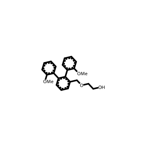 COc1ccccc1-c1cccc(COCCO)c1-c1ccccc1OC